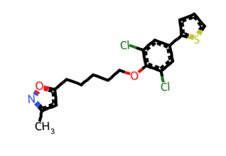 Cc1cc(CCCCCOc2c(Cl)cc(-c3cccs3)cc2Cl)on1